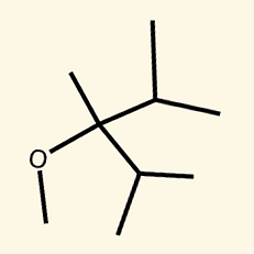 COC(C)(C(C)C)C(C)C